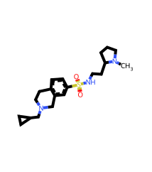 CN1CCCC1CCNS(=O)(=O)c1ccc2c(c1)CN(CC1CC1)CC2